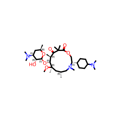 CO[C@]1(C)C[C@@H](C)CN(C)[C@@H](C2CCC(N(C)C)CC2)COC(=O)C(C)(C)C(=O)[C@H](C)[C@H]1O[C@@H]1O[C@H](C)C[C@H](N(C)C)[C@H]1O